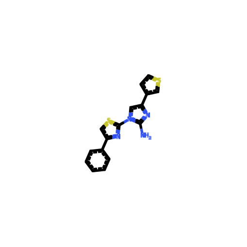 Nc1nc(-c2ccsc2)cn1-c1nc(-c2ccccc2)cs1